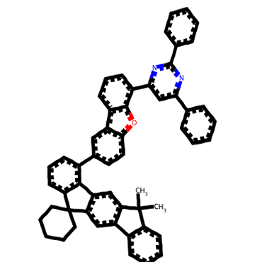 CC1(C)c2ccccc2-c2cc3c(cc21)-c1c(-c2ccc4oc5c(-c6cc(-c7ccccc7)nc(-c7ccccc7)n6)cccc5c4c2)cccc1C31CCCCC1